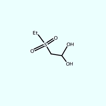 CCS(=O)(=O)CC(O)O